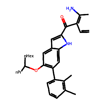 C=C/C(C(=O)c1cc2cc(OC(CCC)CCCCCC)c(-c3cccc(C)c3C)cc2[nH]1)=C(\C)N